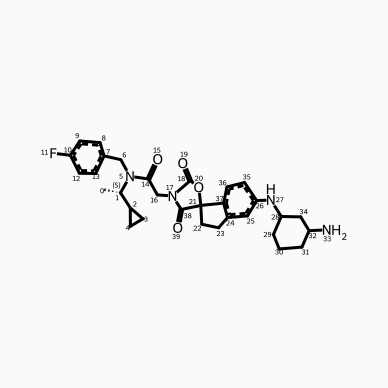 C[C@@H](C1CC1)N(Cc1ccc(F)cc1)C(=O)CN1C(=O)OC2(CCc3cc(NC4CCCC(N)C4)ccc32)C1=O